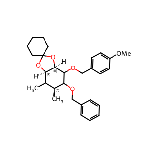 COc1ccc(COC2C(OCc3ccccc3)[C@@H](C)C(C)[C@H]3OC4(CCCCC4)O[C@@H]23)cc1